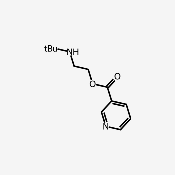 CC(C)(C)NCCOC(=O)c1cccnc1